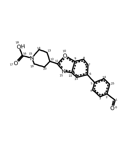 O=Cc1ccc(-c2ccc3oc(C4CCN(C(=O)O)CC4)nc3c2)cc1